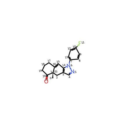 C[C@]12Cc3cnn(-c4ccc(F)cc4)c3C=C1CCCC2=O